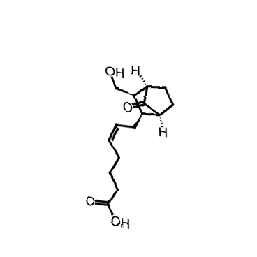 O=C(O)CCC/C=C\C[C@H]1[C@@H](CO)[C@H]2CC[C@@H]1C2=O